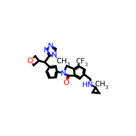 Cn1cnnc1C(c1cccc(N2Cc3c(cc(CNC4(C)CC4)cc3C(F)(F)F)C2=O)c1)C1COC1